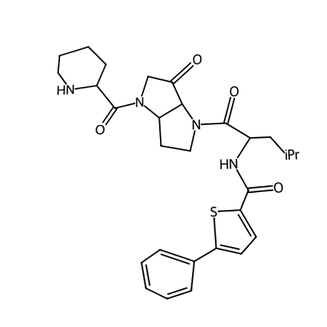 CC(C)CC(NC(=O)c1ccc(-c2ccccc2)s1)C(=O)N1CCC2C1C(=O)CN2C(=O)C1CCCCN1